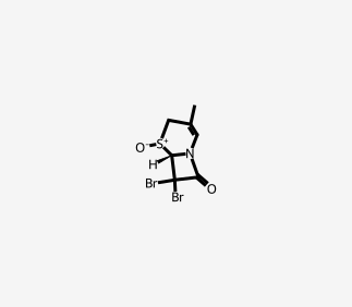 CC1=CN2C(=O)C(Br)(Br)[C@@H]2[S+]([O-])C1